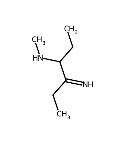 CCC(=N)C(CC)NC